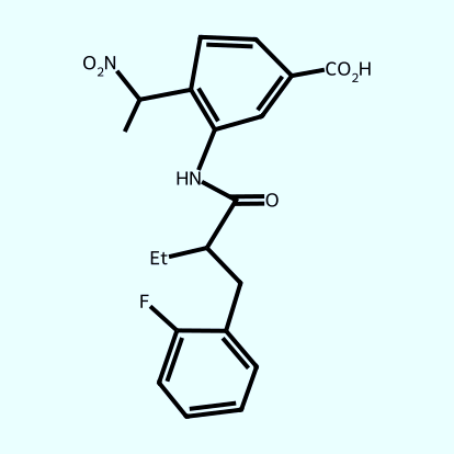 CCC(Cc1ccccc1F)C(=O)Nc1cc(C(=O)O)ccc1C(C)[N+](=O)[O-]